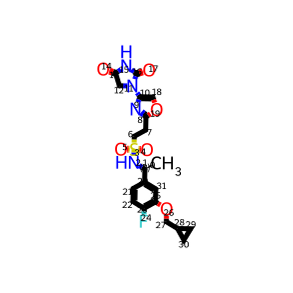 C[C@@H](NS(=O)(=O)CCc1nc(N2CC(=O)NC2=O)co1)c1ccc(F)c(OCC2CC2)c1